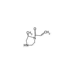 C=CC(=O)N1CCNC[C@H]1C